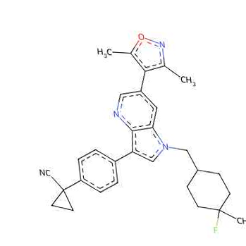 Cc1noc(C)c1-c1cnc2c(-c3ccc(C4(C#N)CC4)cc3)cn(CC3CCC(C)(F)CC3)c2c1